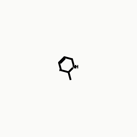 CC1[C]C=CCN1